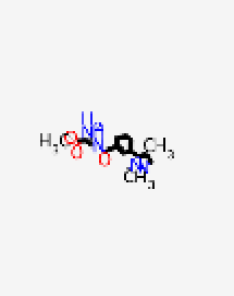 CCn1ncc(C)c1-c1cccc(C(=O)NC[C@@H](N)C(=O)OC)c1